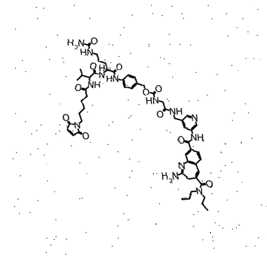 CCCN(CCC)C(=O)C1=Cc2ccc(C(=O)Nc3cncc(CNC(=O)CNC(=O)OCc4ccc(NC(=O)[C@H](CCCNC(N)=O)NC(=O)C(NC(=O)CCCCCN5C(=O)C=CC5=O)C(C)C)cc4)c3)cc2N=C(N)C1